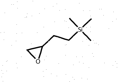 C[Si](C)(C)CCC1CO1